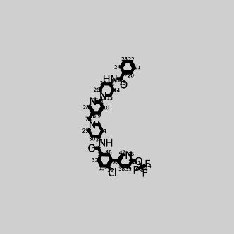 O=C(NC1CCN(Cc2ccc(N3CCC(NC(=O)c4ccccc4)CC3)nc2)CC1)c1ccc(Cl)c(-c2ccc(OC(F)(F)F)nc2)c1